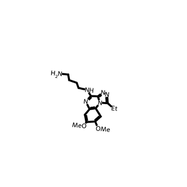 CCc1nnc2c(NCCCCN)nc3cc(OC)c(OC)cc3n12